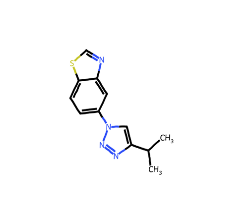 CC(C)c1cn(-c2ccc3scnc3c2)nn1